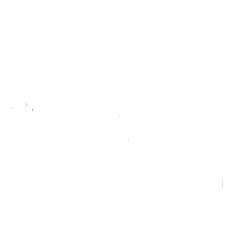 CCCCCCCCCCCCCCCC/C=C/C1CC(=O)N(CC)C1=O